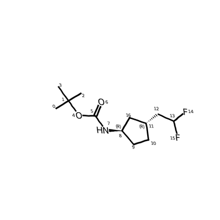 CC(C)(C)OC(=O)N[C@@H]1CC[C@@H](CC(F)F)C1